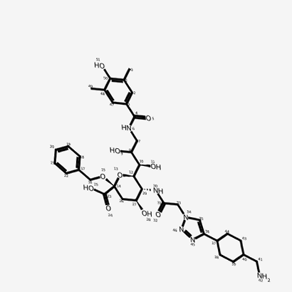 Cc1cc(C(=O)NCC(O)[C@@H](O)[C@@H]2O[C@@](OCc3ccccc3)(C(=O)O)C[C@H](O)[C@H]2NC(=O)Cn2cc(C3CCC(CN)CC3)nn2)cc(C)c1O